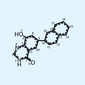 O=c1[nH]cnc2c(O)cc(-c3ccc4ccccc4c3)cc12